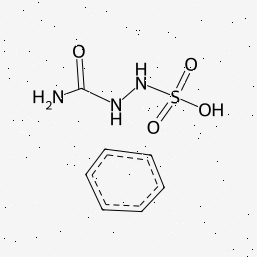 NC(=O)NNS(=O)(=O)O.c1ccccc1